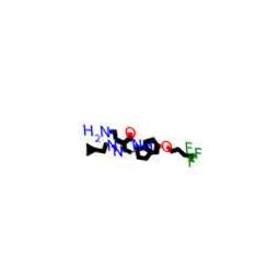 NCc1c2c(nn1CCC1CC1)C[C@]1(CCc3cc(OCCCC(F)(F)F)ccc31)NC2=O